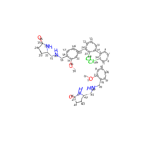 COc1cc(-c2cccc(-c3cccc(-c4ccc(CNCC5CCC(=O)N5)c(OC)c4)c3Cl)c2Cl)ccc1CNCC1CCC(=O)N1